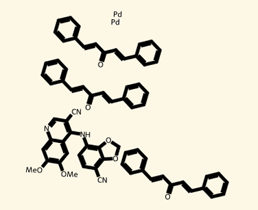 COc1cc2ncc(C#N)c(Nc3ccc(C#N)c4c3OCO4)c2cc1OC.O=C(C=Cc1ccccc1)C=Cc1ccccc1.O=C(C=Cc1ccccc1)C=Cc1ccccc1.O=C(C=Cc1ccccc1)C=Cc1ccccc1.[Pd].[Pd]